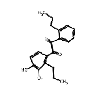 CCCc1ccccc1C(=O)C(=O)c1ccc(O)c(O)c1CCC